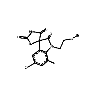 CCOCCN1C(=O)C2(NC(=O)NC2=O)c2cc(Cl)cc(C)c21